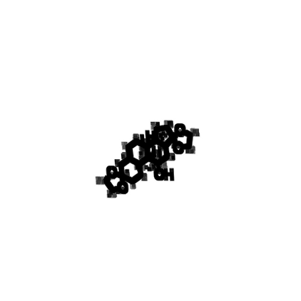 C[C@]12CCC3(CC1=CC[C@@H]1[C@@H]2[C@@H](O)C[C@@]2(C)[C@H]1CCC21OCCO1)OCCO3